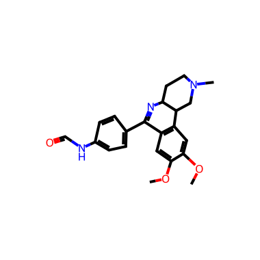 COc1cc2c(cc1OC)C1CN(C)CCC1N=C2c1ccc(NC=O)cc1